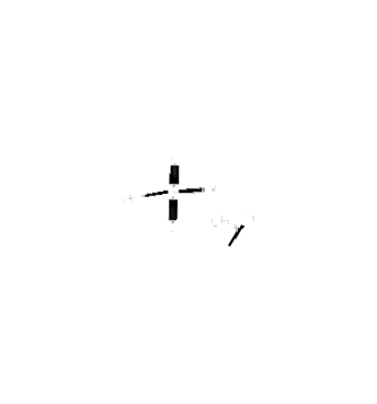 C.CCC.O=S(=O)(O)O